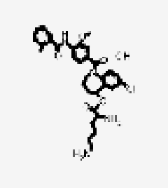 COc1cc(C(=O)N2CCCC(OC(=O)C(N)CCCCN)c3cc(Cl)ccc32)ccc1NC(=O)c1ccccc1C.Cl